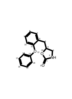 O=C1NCC(Cc2ccccc2Oc2ccccc2)O1